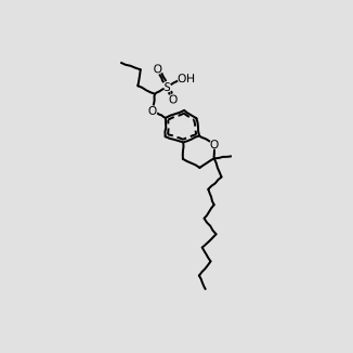 CCCCCCCCCC1(C)CCc2cc(OC(CCC)S(=O)(=O)O)ccc2O1